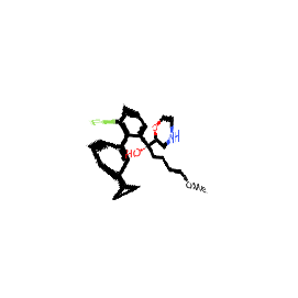 COCCCC[C@@](O)(c1cccc(F)c1-c1cccc(C2CC2)c1)C1CNCCO1